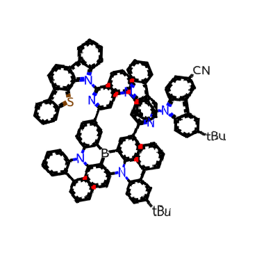 CC(C)(C)c1ccc(N2c3ccc(-c4cc(-c5ccccc5)cc(-n5c6ccc(C#N)cc6c6cc(C(C)(C)C)ccc65)n4)cc3B3c4cc(-c5cc(-n6c7ccccc7c7ccccc76)cc(-n6c7ccccc7c7ccc8c9ccccc9sc8c76)n5)ccc4N(c4ccccc4-c4ccccc4)c4cccc2c43)c(-c2ccccc2)c1